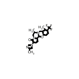 Cc1cn(-c2ccc3n(c2=O)C[C@@H](C)N(Cc2cccc(C(F)(F)F)c2C)C3=O)cn1